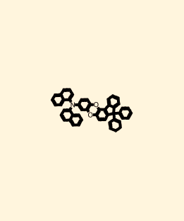 C1=CC(C2(c3ccccc3)c3ccccc3-c3c2ccc2c3Oc3ccc(N(c4cccc5ccccc45)c4cccc5ccccc45)cc3O2)=CCC1